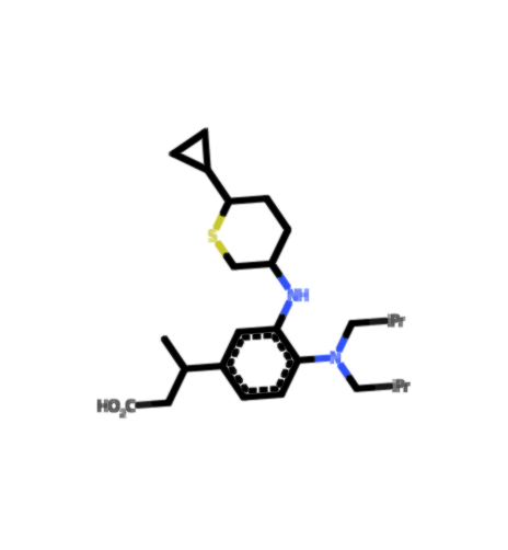 CC(C)CN(CC(C)C)c1ccc(C(C)CC(=O)O)cc1NC1CCC(C2CC2)SC1